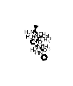 CC(C)(NC(=O)[C@@H]1CCCN1C(=O)[C@@H](N(N)/C=C(\N)C1CC1)C(C)(C)C)C(=O)Nc1ccccc1